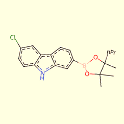 CCCC1(C)OB(c2ccc3c(c2)[nH]c2ccc(Cl)cc23)OC1(C)C